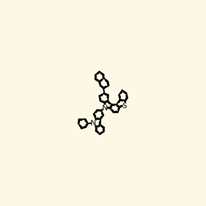 c1ccc(-n2c3ccccc3c3cc(-n4c5ccc(-c6ccc7ccccc7c6)cc5c5c6c(ccc54)sc4ccccc46)ccc32)cc1